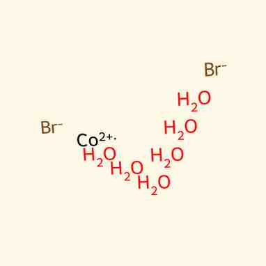 O.O.O.O.O.O.[Br-].[Br-].[Co+2]